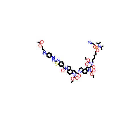 CCOC(=O)N(CCCCCCOP(OCC#N)N(C(C)C)C(C)C)C(=O)c1cc2c3c(ccc2n1C(=O)OCC)N(C(=O)c1cc2c4c(ccc2n1C(=O)OCC)N(C(=O)c1ccc2nc(/N=N/c5ccc(N(C)CCCOC(C)=O)cc5)sc2c1)CC4)CC3